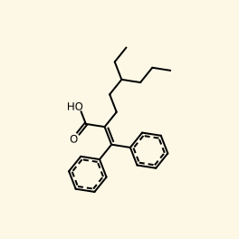 CCCC(CC)CCC(C(=O)O)=C(c1ccccc1)c1ccccc1